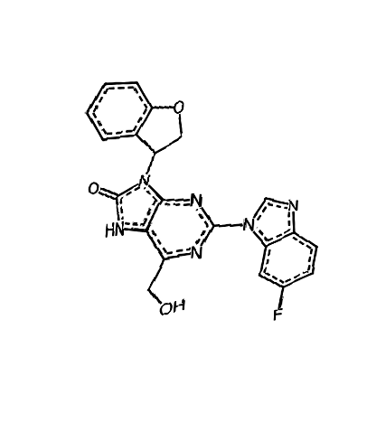 O=c1[nH]c2c(CO)nc(-n3cnc4ccc(F)cc43)nc2n1C1COc2ccccc21